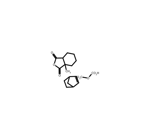 C1=CC2CCC1C2.CC12CCCCC1C(=O)OC2=O.O=C(O)OC(=O)O